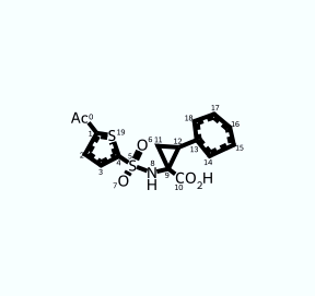 CC(=O)c1ccc(S(=O)(=O)NC2(C(=O)O)CC2c2ccccc2)s1